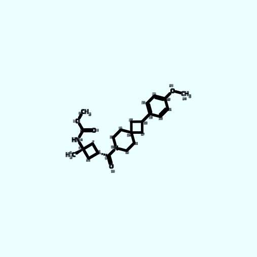 COC(=O)N[C@]1(C)C[C@H](C(=O)N2CCC3(CC2)CC(c2ccc(OC)cc2)C3)C1